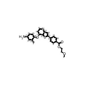 COCCOC(=O)c1ccc(-c2cc3nccc(Oc4ccc(N)cc4F)c3s2)cc1